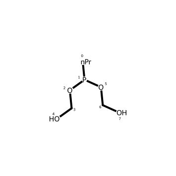 CCCP(OCO)OCO